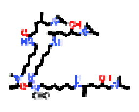 C=C(CCC(O)CN1CC1C)NCCCCCC/N=C(/OC(=C)N(C)CCCCCCNC(=O)CCC(C)CN1CC1C)N(C=O)CCCCCCNC(=C)CCC(O)CN1CC1C